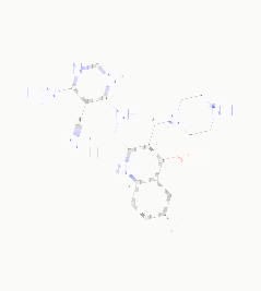 C[C@H](Nc1ncnc(N)c1C#N)c1nc2ccc(F)cc2c(O)c1CN1CCNCC1